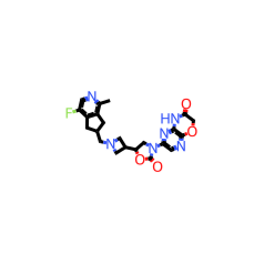 Cc1ncc(F)c2c1CC(CN1CC(C3CN(c4cnc5c(n4)NC(=O)CO5)C(=O)O3)C1)C2